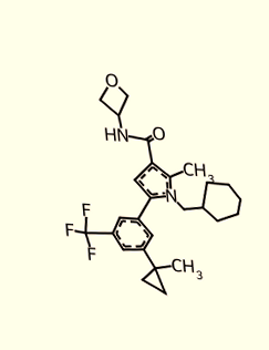 Cc1c(C(=O)NC2COC2)cc(-c2cc(C(F)(F)F)cc(C3(C)CC3)c2)n1CC1CCCCC1